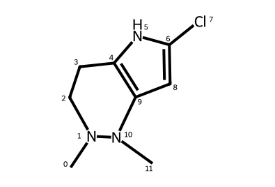 CN1CCc2[nH]c(Cl)cc2N1C